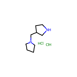 C1CCN(CC2CCNC2)C1.Cl.Cl